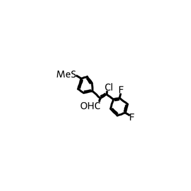 CSc1ccc(C(C=O)=C(Cl)c2ccc(F)cc2F)cc1